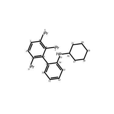 CC(C)c1ccc(C(C)C)c(C(C)C)c1-c1ccccc1PC1CCCCC1